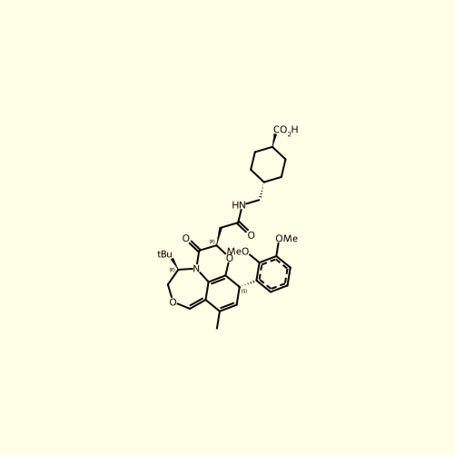 COc1cccc([C@@H]2C=C(C)C3=COC[C@@H](C(C)(C)C)N4C(=O)[C@@H](CC(=O)NC[C@H]5CC[C@H](C(=O)O)CC5)OC2=C34)c1OC